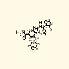 CCCn1c(NC(=O)c2ocnc2C)nc2cc(C(N)=O)cc(CN3CCOCC3)c21